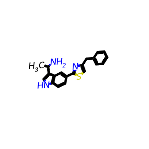 CC(N)c1c[nH]c2ccc(-c3nc(Cc4ccccc4)cs3)cc12